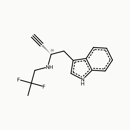 C#C[C@H](Cc1c[nH]c2ccccc12)NCC(C)(F)F